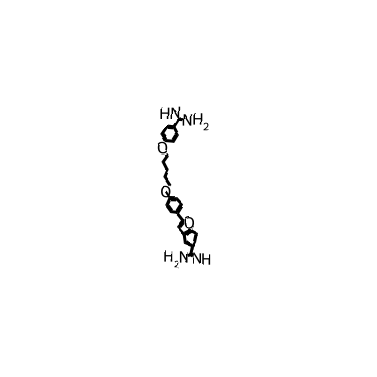 N=C(N)c1ccc(OCCCCCOc2ccc(-c3cc4cc(C(=N)N)ccc4o3)cc2)cc1